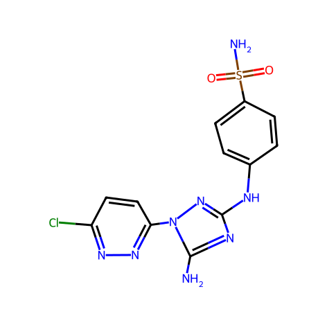 Nc1nc(Nc2ccc(S(N)(=O)=O)cc2)nn1-c1ccc(Cl)nn1